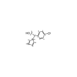 O=C(O)C(c1ccc(Cl)cc1)n1ccnc1